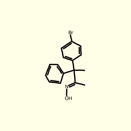 CC(=NO)C(C)(c1ccccc1)c1ccc(Br)cc1